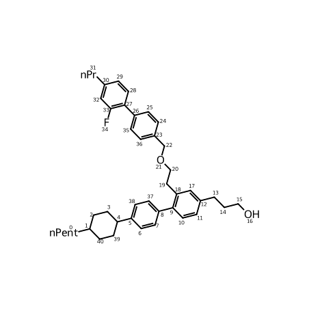 CCCCCC1CCC(c2ccc(-c3ccc(CCCO)cc3CCOCc3ccc(-c4ccc(CCC)cc4F)cc3)cc2)CC1